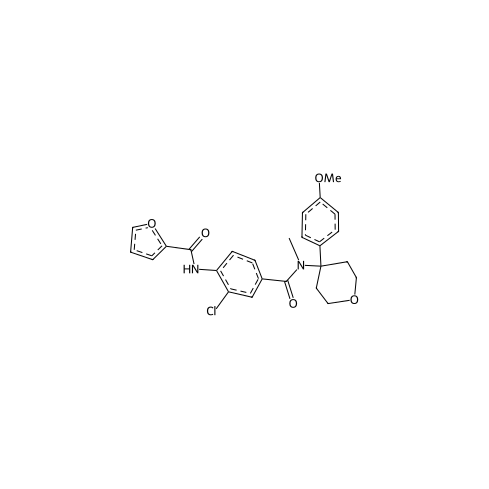 COc1ccc(C2(N(C)C(=O)c3ccc(NC(=O)c4ccco4)c(Cl)c3)CCOCC2)cc1